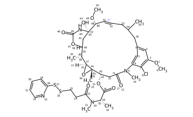 COc1cc2cc(c1Cl)N(C)C(=O)C[C@H](OC(=O)[C@H](C)N(C)C(=O)CCSSc1ccccn1)[C@]1(C)O[C@H]1[C@H](C)[C@@H]1C[C@@](O)(NC(=O)O1)[C@H](OC)/C=C/CC(C)C2